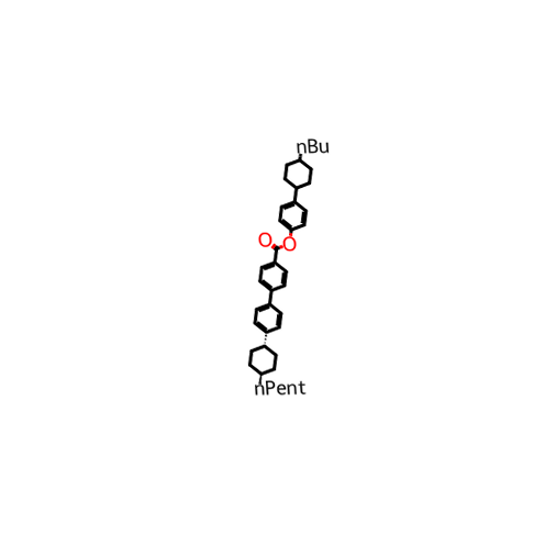 CCCCC[C@H]1CC[C@H](c2ccc(-c3ccc(C(=O)Oc4ccc(C5CCC(CCCC)CC5)cc4)cc3)cc2)CC1